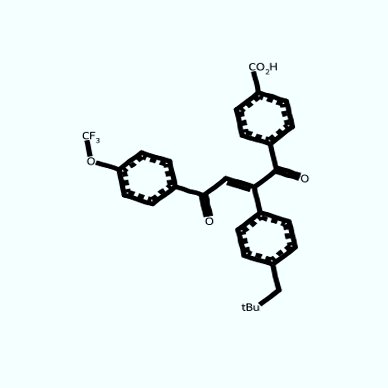 CC(C)(C)Cc1ccc(/C(=C\C(=O)c2ccc(OC(F)(F)F)cc2)C(=O)c2ccc(C(=O)O)cc2)cc1